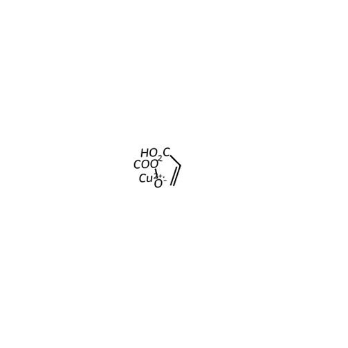 C=CC(=O)O.O=C([O-])[O-].[Cu+2]